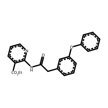 CCOC(=O)c1cccnc1NC(=O)Cc1cccc(Oc2ccccc2)c1